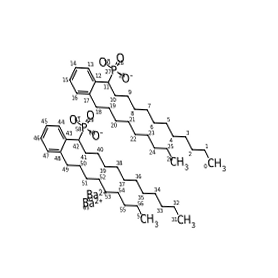 CCCCCCCCCCCC(c1ccccc1CCCCCCCCC)P(=O)([O-])[O-].CCCCCCCCCCCC(c1ccccc1CCCCCCCCC)P(=O)([O-])[O-].[Ba+2].[Ba+2]